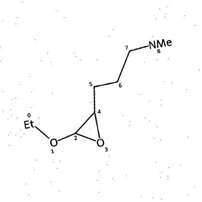 CCOC1OC1CCCNC